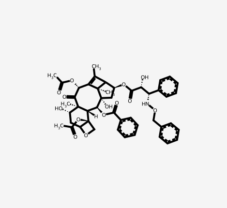 CC(=O)O[C@H]1C(=O)[C@]2(C)[C@@H](O)CC3OC[C@@]3(OC(C)=O)[C@H]2[C@H](OC(=O)c2ccccc2)[C@]2(O)C[C@H](OC(=O)[C@H](O)[C@@H](NOCc3ccccc3)c3ccccc3)C3C(C)=C1[C@@]32C